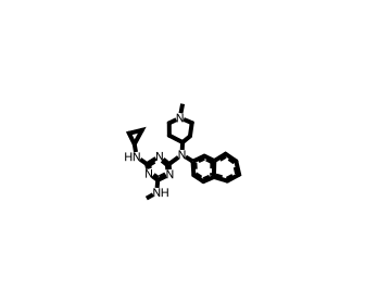 CNc1nc(NC2CC2)nc(N(c2ccc3ccccc3c2)C2CCN(C)CC2)n1